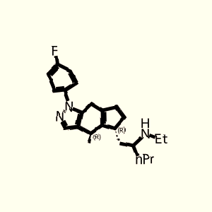 CCCC(C[C@H]1CCC2=C1[C@@H](C)c1cnn(-c3ccc(F)cc3)c1C2)NCC